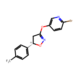 FC(F)(F)c1ccc([C@@H]2CC(Oc3ccc(Br)nc3)=NO2)cc1